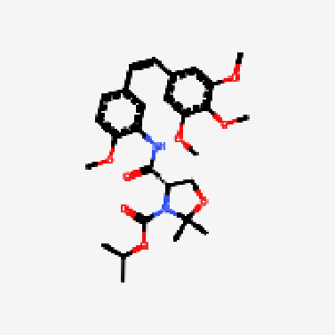 COc1ccc(/C=C\c2cc(OC)c(OC)c(OC)c2)cc1NC(=O)[C@@H]1COC(C)(C)N1C(=O)OC(C)C